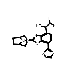 OC(c1ccc(-c2nccs2)c2oc(N3CC4CCC(C3)N4)nc12)C(F)F